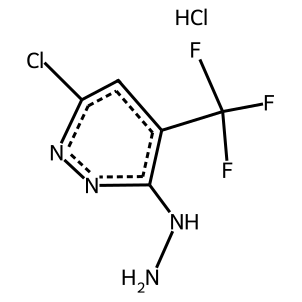 Cl.NNc1nnc(Cl)cc1C(F)(F)F